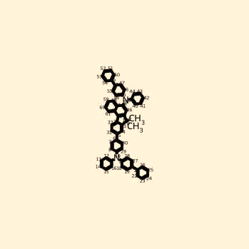 CC1(C)c2cc(-c3ccc(N(c4ccccc4)c4ccc(-c5ccccc5)cc4)cc3)ccc2-c2c1cc(N(c1ccccc1)c1ccc(-c3ccccc3)cc1)c1ccccc21